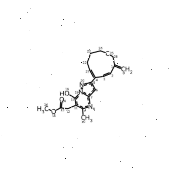 C=C1/C=C\C(c2cc3nc(C)c(CC(=O)OC)c(O)n3n2)=C/CCCCC1